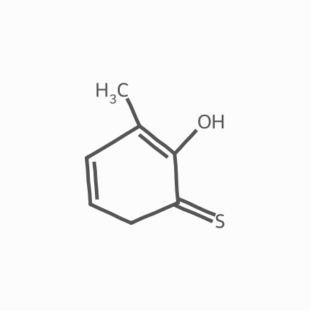 CC1=C(O)C(=S)CC=C1